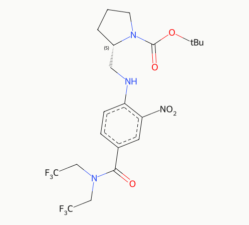 CC(C)(C)OC(=O)N1CCC[C@H]1CNc1ccc(C(=O)N(CC(F)(F)F)CC(F)(F)F)cc1[N+](=O)[O-]